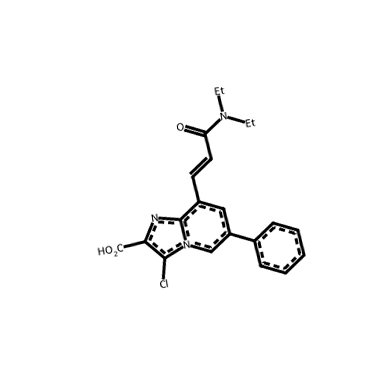 CCN(CC)C(=O)C=Cc1cc(-c2ccccc2)cn2c(Cl)c(C(=O)O)nc12